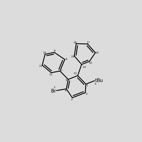 CC(C)(C)c1ccc(Br)c(-c2ccccc2)c1-c1ccccc1